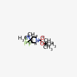 CN(C)C1(C(F)(F)F)CCN(C(=O)OC(C)(C)C)CC1